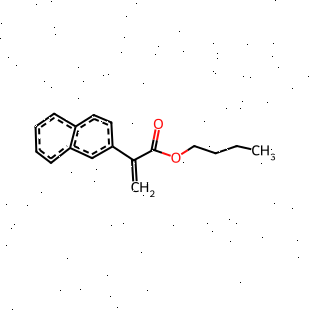 C=C(C(=O)OCCCC)c1ccc2ccccc2c1